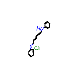 Clc1ccccc1N=CC=CC=CNc1ccccc1